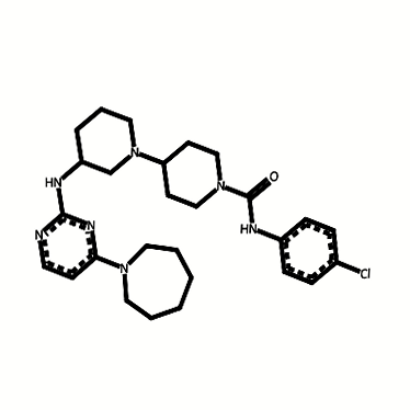 O=C(Nc1ccc(Cl)cc1)N1CCC(N2CCCC(Nc3nccc(N4CCCCCC4)n3)C2)CC1